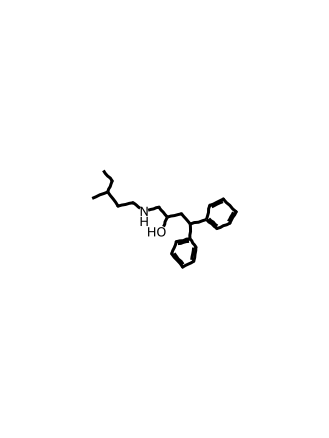 CCC(C)CCNCC(O)CC(c1ccccc1)c1ccccc1